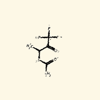 CC(=O)SC(C)C(=O)C(F)(F)F